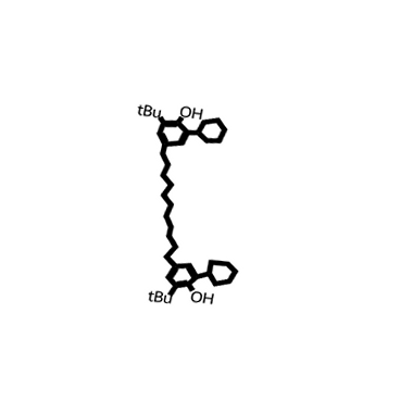 CC(C)(C)c1cc(CCCCCCCCCCCc2cc(C3CCCCC3)c(O)c(C(C)(C)C)c2)cc(C2CCCCC2)c1O